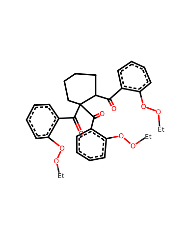 CCOOc1ccccc1C(=O)C1CCCCC1(C(=O)c1ccccc1OOCC)C(=O)c1ccccc1OOCC